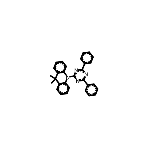 CC1(C)c2ccccc2N(c2nc(-c3ccccc3)nc(-c3ccccc3)n2)c2ccccc21